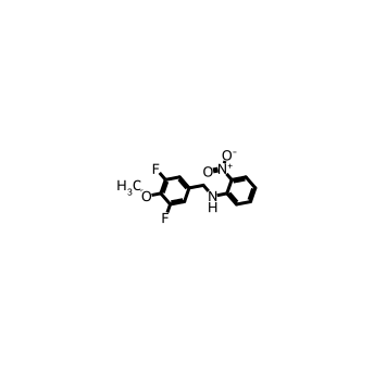 COc1c(F)cc(CNc2ccccc2[N+](=O)[O-])cc1F